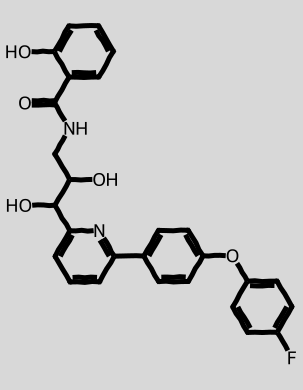 O=C(NCC(O)C(O)c1cccc(-c2ccc(Oc3ccc(F)cc3)cc2)n1)c1ccccc1O